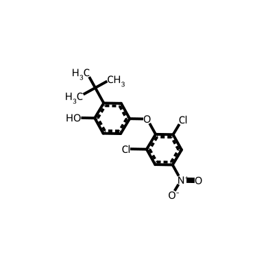 CC(C)(C)c1cc(Oc2c(Cl)cc([N+](=O)[O-])cc2Cl)ccc1O